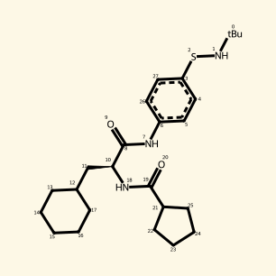 CC(C)(C)NSc1ccc(NC(=O)[C@H](CC2CCCCC2)NC(=O)C2CCCC2)cc1